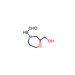 O=CBN1CCCOC(CO)C1